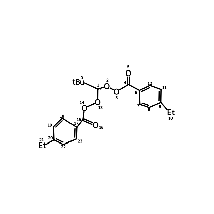 [CH2]C(C)(C)[C](OOC(=O)c1ccc(CC)cc1)OOC(=O)c1ccc(CC)cc1